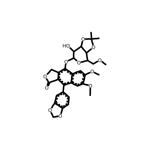 COCC1OC(Oc2c3c(c(-c4ccc5c(c4)OCO5)c4cc(OC)c(OC)cc24)C(=O)OC3)C(O)C2OC(C)(C)OC12